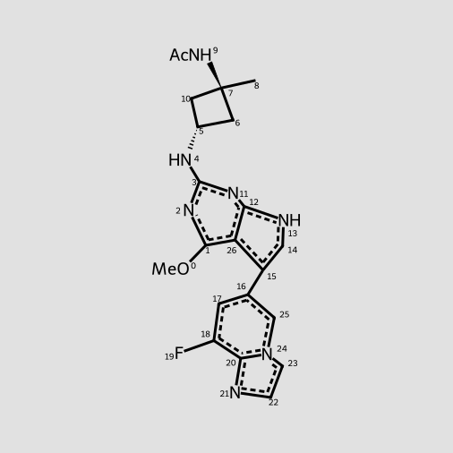 COc1nc(N[C@H]2C[C@](C)(NC(C)=O)C2)nc2[nH]cc(-c3cc(F)c4nccn4c3)c12